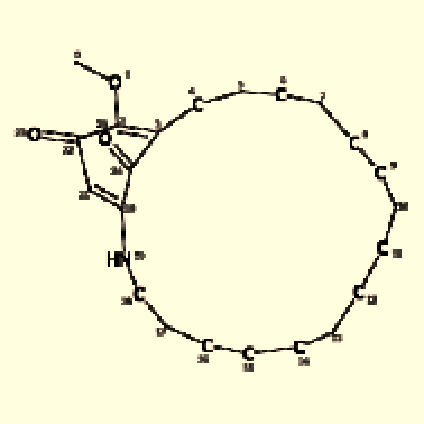 COC1=C2CCCCCCCCCCCCCCCNC(=CC1=O)C2=O